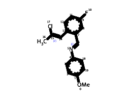 COc1ccc(/N=C/c2cc(F)ccc2/C=C(/C)Cl)cc1